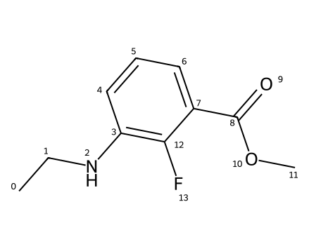 CCNc1cccc(C(=O)OC)c1F